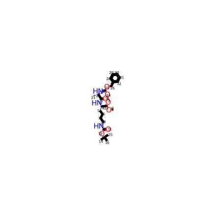 COC(=O)[C@H](CCCCNC(=O)OC(C)(C)C)NC(=O)[C@H](C)NC(=O)OCc1ccccc1